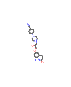 N#Cc1ccc(N2CCN(C[C@H](O)COc3ccc4c(c3)CCC(=O)N4)CC2)cc1